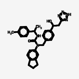 Cc1ccc(C(C)NC(=O)N(Cc2ccc(C(O)Cc3nn[nH]n3)cc2)c2ccc3c(c2)CCC3)cc1